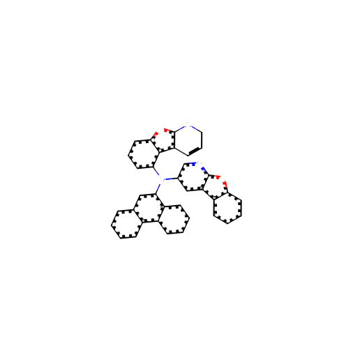 C1=Cc2c(oc3cccc(N(c4cnc5oc6ccccc6c5c4)c4cc5ccccc5c5ccccc45)c23)NC1